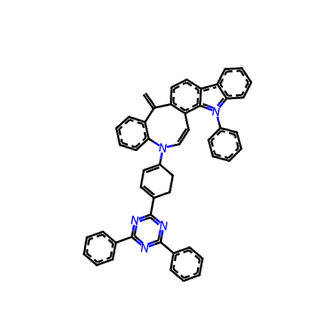 C=C1c2ccccc2N(C2=CC=C(c3nc(-c4ccccc4)nc(-c4ccccc4)n3)CC2)/C=C\c2c1ccc1c3ccccc3n(-c3ccccc3)c21